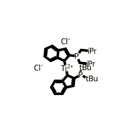 CC(C)CP(CC(C)C)C1=Cc2ccccc2[CH]1[Ti+2][CH]1C(P(C(C)(C)C)C(C)(C)C)=Cc2ccccc21.[Cl-].[Cl-]